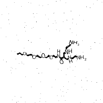 CCCOCCOCCOCCOCCNC(=O)C(CNCCN)CNCCN